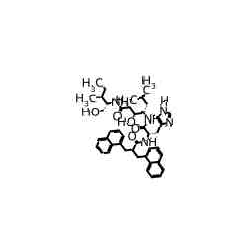 CC[C@H](C)[C@@H](CO)NC(=O)C[C@H](O)[C@H](CC(C)C)NC(=O)[C@H](Cc1c[nH]cn1)NC(=O)C(Cc1cccc2ccccc12)Cc1cccc2ccccc12